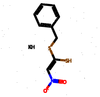 O=[N+]([O-])C=C(S)SCc1ccccc1.[KH]